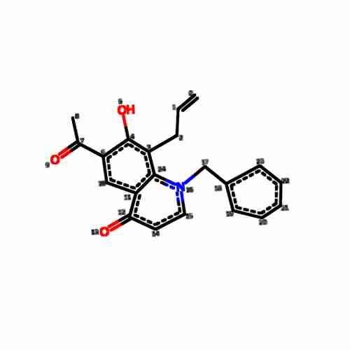 C=CCc1c(O)c(C(C)=O)cc2c(=O)ccn(Cc3ccccc3)c12